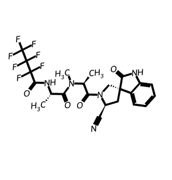 C[C@H](NC(=O)C(F)(F)C(F)(F)C(F)(F)F)C(=O)N(C)[C@@H](C)C(=O)N1C[C@]2(C[C@H]1C#N)C(=O)Nc1ccccc12